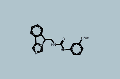 COc1cccc(NC(=O)NCC2c3ccccc3-c3cncn32)c1